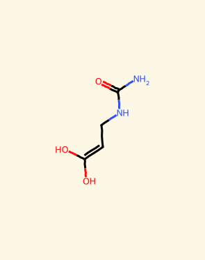 NC(=O)NCC=C(O)O